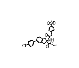 CCOC(=O)C1(NC(=O)Cc2ccc(S(C)(=O)=O)cc2)Cc2ccc(-c3ccc(Cl)cc3)cc2C1